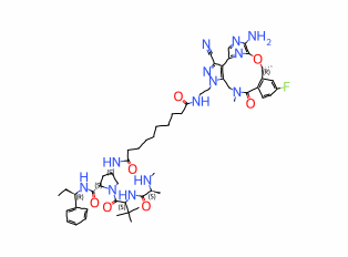 CC[C@@H](NC(=O)[C@@H]1C[C@H](NC(=O)CCCCCCCCC(=O)NCCn2nc(C#N)c3c2CN(C)C(=O)c2ccc(F)cc2[C@@H](C)Oc2nc-3cnc2N)CN1C(=O)[C@@H](NC(=O)[C@H](C)NC)C(C)(C)C)c1ccccc1